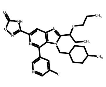 CCCOC(CC)c1nc2cc(-c3noc(=O)[nH]3)nc(-c3cncc(Cl)c3)c2n1CC1CCC(C)CC1